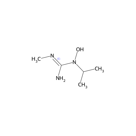 C/N=C(\N)N(O)C(C)C